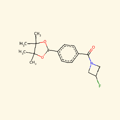 CC1(C)OB(c2ccc(C(=O)N3CC(F)C3)cc2)OC1(C)C